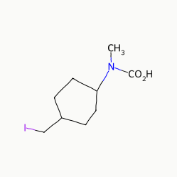 CN(C(=O)O)C1CCC(CI)CC1